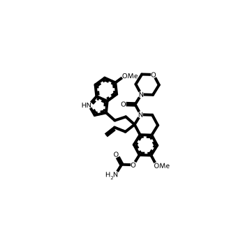 C=CCC1(CCc2c[nH]c3ccc(OC)cc23)c2cc(OC(N)=O)c(OC)cc2CCN1C(=O)N1CCOCC1